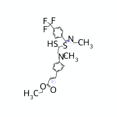 CC/N=C(\SC(S)CN(C)c1ccc(/C=C/C(=O)OCC)cc1)c1ccc(C(F)(F)F)cc1